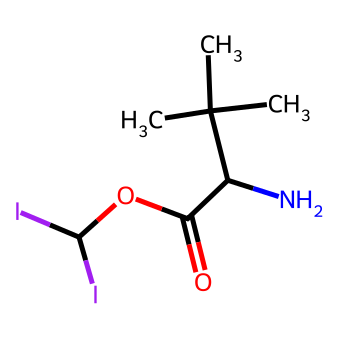 CC(C)(C)C(N)C(=O)OC(I)I